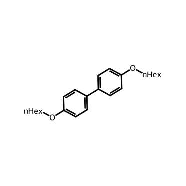 CCCCCCOc1ccc(-c2ccc(OCCCCCC)cc2)cc1